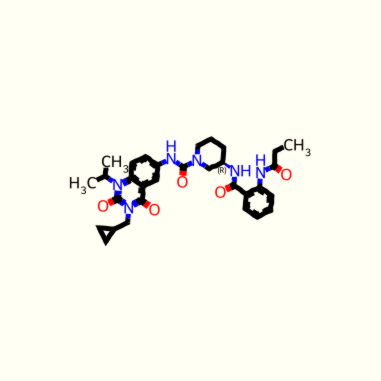 CCC(=O)Nc1ccccc1C(=O)N[C@@H]1CCCN(C(=O)Nc2ccc3c(c2)c(=O)n(CC2CC2)c(=O)n3C(C)C)C1